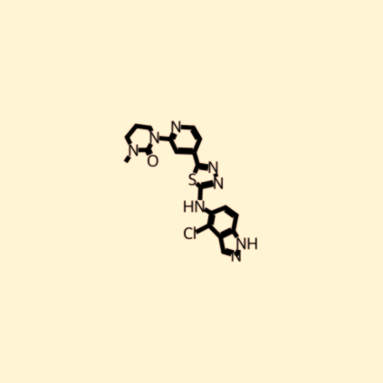 CN1CCCN(c2cc(-c3nnc(Nc4ccc5[nH]ncc5c4Cl)s3)ccn2)C1=O